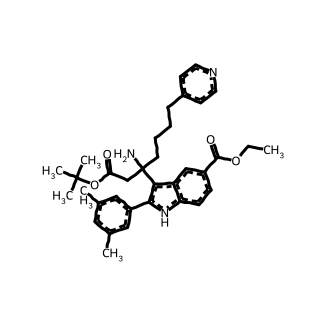 CCOC(=O)c1ccc2[nH]c(-c3cc(C)cc(C)c3)c(C(N)(CCCCc3ccncc3)CC(=O)OC(C)(C)C)c2c1